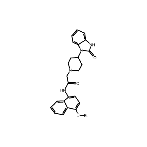 CCOc1ccc(NC(=O)CN2CCC(n3c(=O)[nH]c4ccccc43)CC2)c2ccccc12